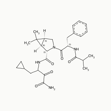 CC(C)C(=O)N[C@@H](Cc1ccccc1)C(=O)N1C[C@H]2[C@@H]([C@H]1C(=O)NC(CC1CC1)C(=O)C(N)=O)C2(C)C